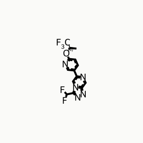 C[C@H](Oc1ccc(-c2cn3c(C(F)F)nnc3cn2)cn1)C(F)(F)F